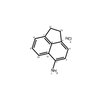 Cl.Nc1ccc2c3c(cccc13)CC2